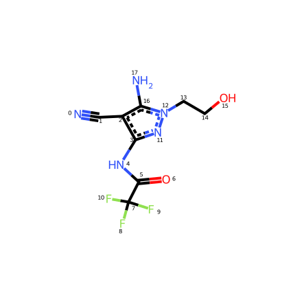 N#Cc1c(NC(=O)C(F)(F)F)nn(CCO)c1N